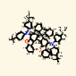 CC(C)(C)c1ccc(N(c2ccc([Si](C)(C)C)cc2)c2cc3c(c4c2oc2ccccc24)-c2c(cc(N(c4ccc(C(C)(C)C)cc4)c4ccc([Si](C)(C)C)cc4)c4c2oc2ccccc24)C32c3ccccc3-c3ccccc32)cc1